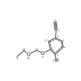 C#Cc1ccc(Br)c(OCOCC)c1